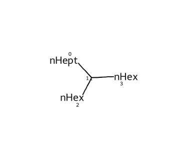 CCCCCCC[C](CCCCCC)CCCCCC